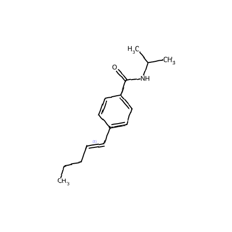 CCC/C=C/c1ccc(C(=O)NC(C)C)cc1